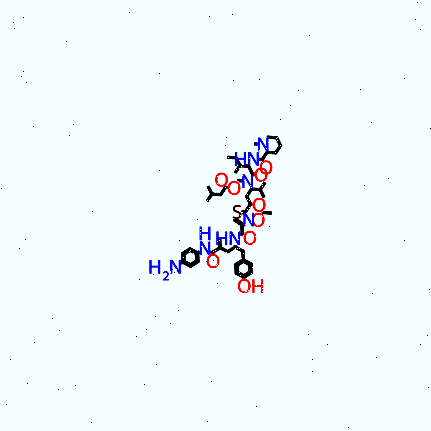 CCC(C)C(NC(=O)C1CCCCN1C)C(=O)N(COC(=O)CC(C)C)C(CC(OC(C)=O)c1nc(C(=O)NC(Cc2ccc(O)cc2)CC(C)C(=O)Nc2ccc(N)cc2)cs1)C(C)C